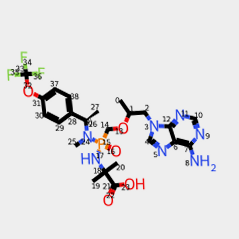 CC(Cn1cnc2c(N)ncnc21)OCP(=O)(NC(C)(C)C(=O)O)N(C)[C@H](C)c1ccc(OC(F)(F)F)cc1